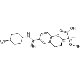 C[C@@](ON)(C(=O)O)[C@H]1CCc2cc(C(=N)N[C@H]3CC[C@H](N)CC3)ccc2O1